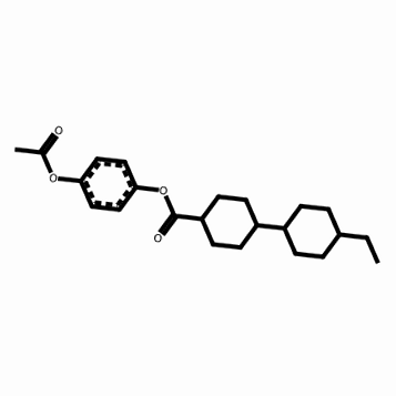 CCC1CCC(C2CCC(C(=O)Oc3ccc(OC(C)=O)cc3)CC2)CC1